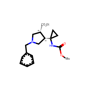 CCOC(=O)[C@H]1CN(Cc2ccccc2)C[C@H]1C1(NC(=O)OC(C)(C)C)CC1